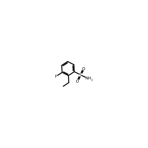 CCc1c(F)cccc1S(N)(=O)=O